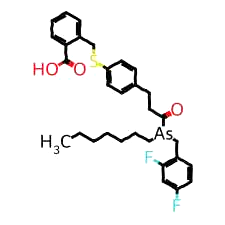 CCCCCCC[As](Cc1ccc(F)cc1F)C(=O)CCc1ccc(SCc2ccccc2C(=O)O)cc1